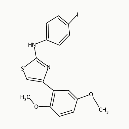 COc1ccc(OC)c(-c2csc(Nc3ccc(I)cc3)n2)c1